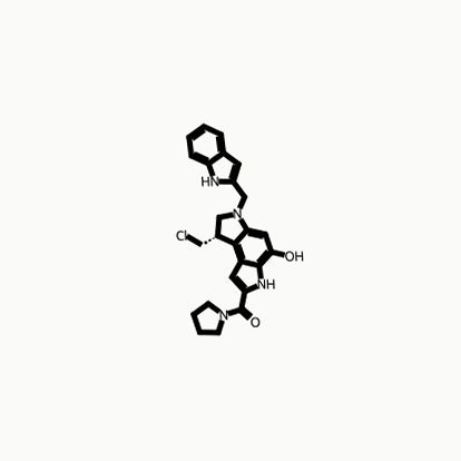 O=C(c1cc2c3c(cc(O)c2[nH]1)N(Cc1cc2ccccc2[nH]1)C[C@H]3CCl)N1CCCC1